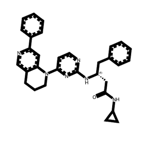 O=C(C[C@@H](Cc1ccccc1)Nc1nccc(N2CCCc3cnc(-c4ccccc4)cc32)n1)NC1CC1